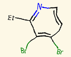 CCc1nccc(Br)c1Br